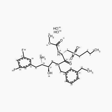 CCCCS(=O)(=O)C[C@@H](NC(=O)OC)C(=O)N(Cc1cccc(CC)c1)C[C@@H](O)[C@@H](N)Cc1cc(F)cc(F)c1.Cl.Cl